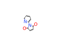 O=C1C=CC(=O)N1c1ccccn1